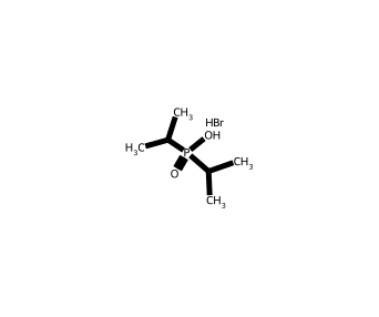 Br.CC(C)P(=O)(O)C(C)C